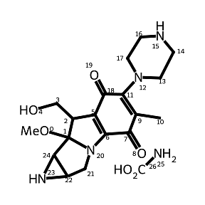 COC12C(CO)C3=C(C(=O)C(C)=C(N4CCNCC4)C3=O)N1CC1NC12.NC(=O)O